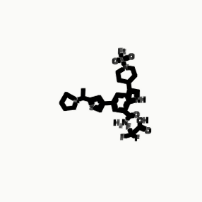 CCS(=O)(=O)N1CCC(c2c[nH]c3c(C(N)=O)cc(-c4csc(C(C)N5CCCC5)c4)cc23)CC1.O=C(O)C(F)(F)F